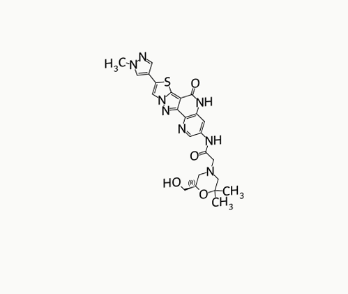 Cn1cc(-c2cn3nc4c5ncc(NC(=O)CN6C[C@H](CO)OC(C)(C)C6)cc5[nH]c(=O)c4c3s2)cn1